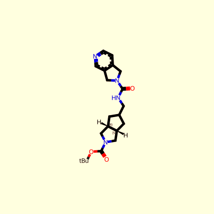 CC(C)(C)OC(=O)N1C[C@H]2CC(CNC(=O)N3Cc4ccncc4C3)C[C@H]2C1